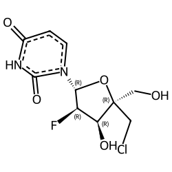 O=c1ccn([C@@H]2O[C@@](CO)(CCl)[C@@H](O)[C@H]2F)c(=O)[nH]1